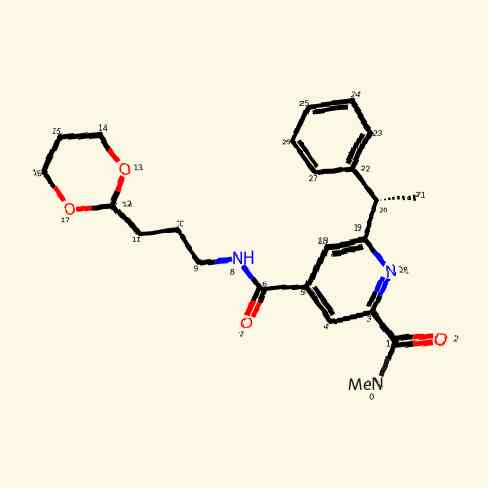 CNC(=O)c1cc(C(=O)NCCCC2OCCCO2)cc([C@@H](C)c2ccccc2)n1